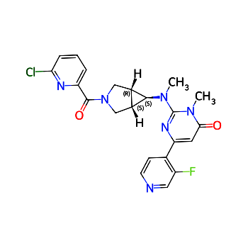 CN(c1nc(-c2ccncc2F)cc(=O)n1C)[C@H]1[C@@H]2CN(C(=O)c3cccc(Cl)n3)C[C@@H]21